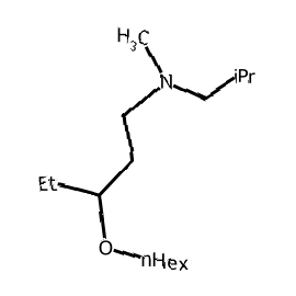 CCCCCCOC(CC)CCN(C)CC(C)C